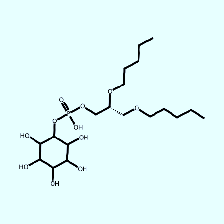 CCCCCOC[C@H](COP(=O)(O)OC1C(O)C(O)C(O)C(O)C1O)OCCCCC